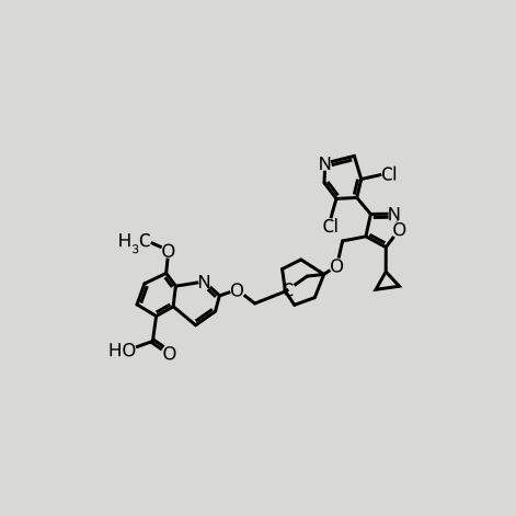 COc1ccc(C(=O)O)c2ccc(OCC34CCC(OCc5c(-c6c(Cl)cncc6Cl)noc5C5CC5)(CC3)CC4)nc12